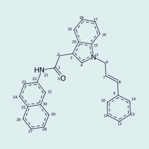 O=C([CH]c1cn(CC=Cc2ccccc2)c2ccccc12)Nc1ccc2ccccc2c1